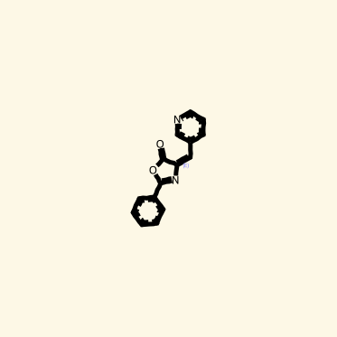 O=C1OC(c2ccccc2)=N/C1=C/c1cccnc1